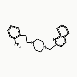 FC(F)(F)c1ccccc1CCN1CCN(Cc2ccc3ccccc3n2)CC1